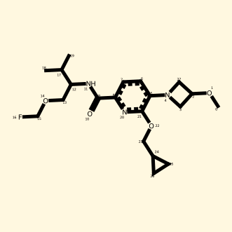 COC1CN(c2ccc(C(=O)NC(COCF)C(C)C)nc2OCC2CC2)C1